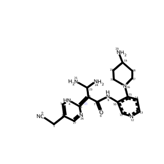 N#CCC1=CN/C(=C(/C(=O)Nc2cnccc2N2CCC(N)CC2)C(N)N)N=C1